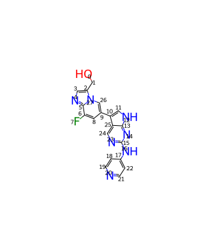 OCc1cnc2c(F)cc(-c3c[nH]c4nc(Nc5ccncc5)ncc34)cn12